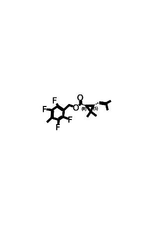 CC(C)=C[C@H]1[C@@H](C(=O)OCc2c(F)c(F)c(C)c(F)c2F)C1(C)C